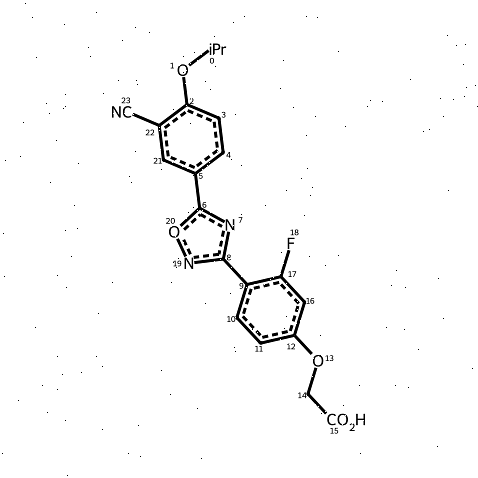 CC(C)Oc1ccc(-c2nc(-c3ccc(OCC(=O)O)cc3F)no2)cc1C#N